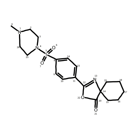 CN1CCN(S(=O)(=O)c2ccc(C3=NC4(CCCCC4)C(=O)O3)cc2)CC1